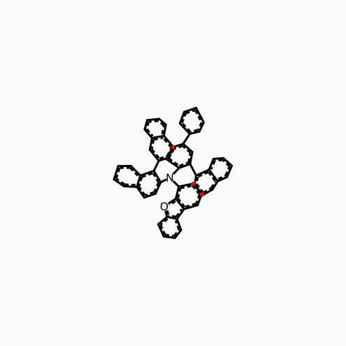 c1ccc(-c2ccc(N(c3ccc4ccccc4c3-c3ccc4ccccc4c3)c3cccc4c3oc3ccccc34)c(-c3cccc4ccccc34)c2)cc1